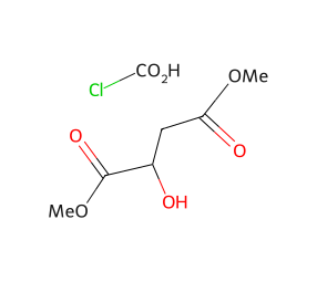 COC(=O)CC(O)C(=O)OC.O=C(O)Cl